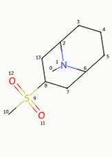 CN1C2CCCC1CC(S(C)(=O)=O)C2